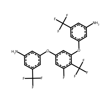 Nc1cc(Oc2cc(F)c(C(F)(F)F)c(Oc3cc(N)cc(C(F)(F)F)c3)c2)cc(C(F)(F)F)c1